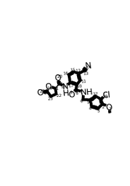 COc1ccc(CNC(=O)c2cc(C#N)ccc2NC(=O)[C@H]2CCC(=O)O2)cc1Cl